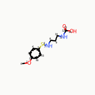 COc1ccc(SNCCCNC(=O)O)cc1